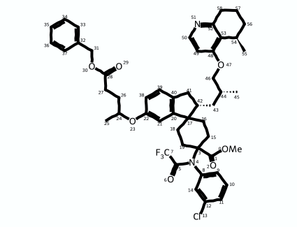 COC(=O)C1(N(C(=O)C(F)(F)F)c2cccc(Cl)c2)CCC2(CC1)c1cc(OC(C)CCC(=O)OCc3ccccc3)ccc1C[C@@H]2C[C@@H](C)COc1ccnc2c1[C@H](C)CCC2